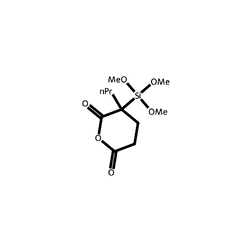 CCCC1([Si](OC)(OC)OC)CCC(=O)OC1=O